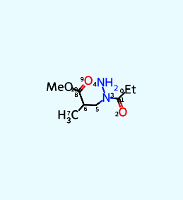 CCC(=O)N(N)CC(C)C(=O)OC